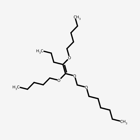 CCCCCCOCOC(OCCCCC)=C(CCC)OCCCCC